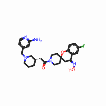 Nc1cc(CN2CCC[C@@H](CC(=O)N3CCC4(CC3)C/C(=N\O)c3cc(F)ccc3O4)C2)ccn1